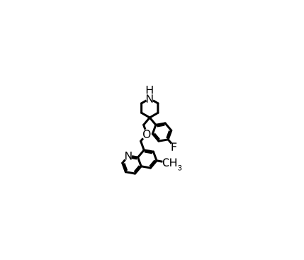 Cc1cc(COCC2(c3ccc(F)cc3)CCNCC2)c2ncccc2c1